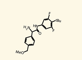 COCc1ccc(C(N)C(=O)Nc2cc(F)c(C(C)(C)C)c(F)c2)cc1